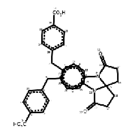 O=C(O)c1ccc(Cc2ccc(N3C(=O)CCC34CCC(=O)N4c3ccc(Cc4ccc(C(=O)O)cc4)cc3)cc2)cc1